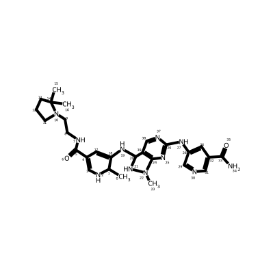 CC1NC=C(C(=O)NCCN2CCCC2(C)C)C=C1NC1NN(C)c2nc(Nc3cncc(C(N)=O)c3)ncc21